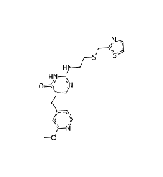 COc1cc(Cc2cnc(NCCSCc3nccs3)[nH]c2=O)ccn1